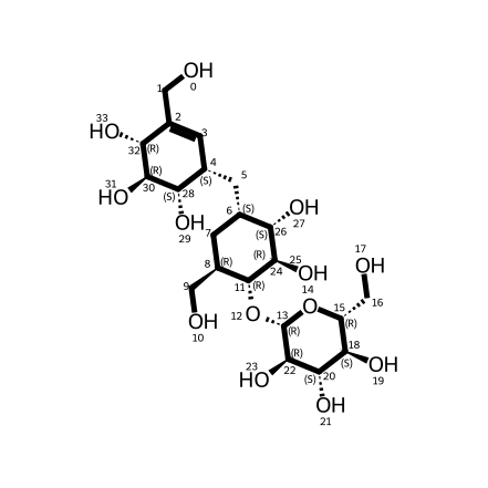 OCC1=C[C@H](C[C@H]2C[C@H](CO)[C@@H](O[C@@H]3O[C@H](CO)[C@@H](O)[C@H](O)[C@H]3O)[C@H](O)[C@H]2O)[C@H](O)[C@@H](O)[C@@H]1O